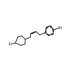 CCc1ccc(C/C=C\CC2CCC(CC)CC2)cc1